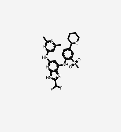 Cc1cc(Nc2cc(Nc3ccc(C4CCCCO4)cc3S(C)(=O)=O)c3nc(C(F)F)[nH]c3n2)nc(C)n1